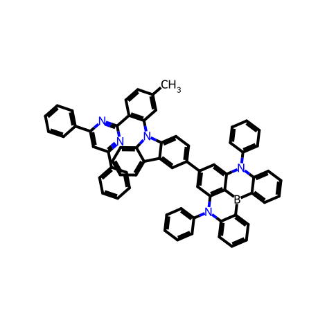 Cc1ccc(-c2nc(-c3ccccc3)cc(-c3ccccc3)n2)c(-n2c3ccccc3c3cc(-c4cc5c6c(c4)N(c4ccccc4)c4ccccc4B6c4ccccc4N5c4ccccc4)ccc32)c1